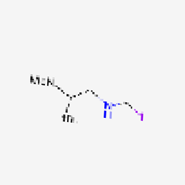 CNC(CNCI)C(C)(C)C